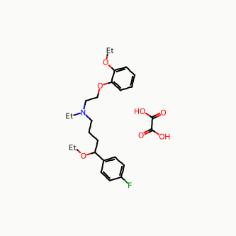 CCOc1ccccc1OCCN(CC)CCCC(OCC)c1ccc(F)cc1.O=C(O)C(=O)O